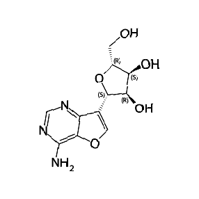 Nc1ncnc2c([C@@H]3O[C@H](CO)[C@@H](O)[C@H]3O)coc12